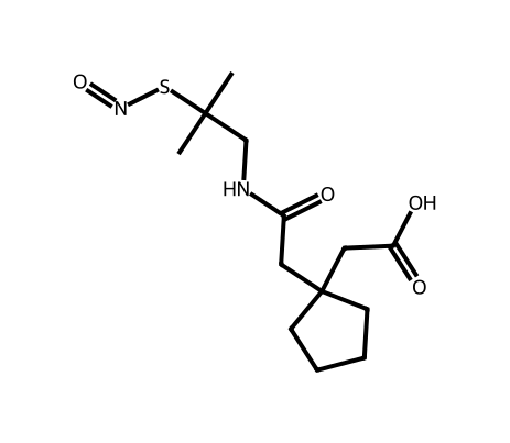 CC(C)(CNC(=O)CC1(CC(=O)O)CCCC1)SN=O